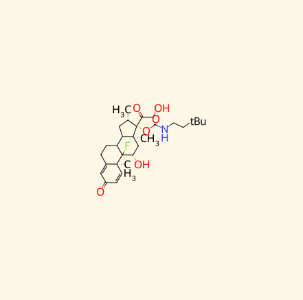 C[C@H]1CC2C3CCC4=CC(=O)C=C[C@]4(C)C3(F)[C@@H](O)C[C@]2(C)[C@]1(OC(=O)NCCC(C)(C)C)C(=O)CO